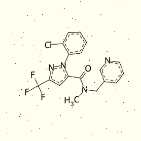 CN(Cc1cccnc1)C(=O)c1cc(C(F)(F)F)nn1-c1ccccc1Cl